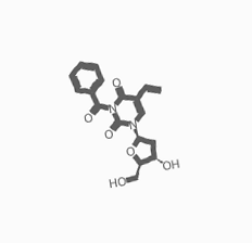 C=Cc1cn([C@H]2C[C@H](O)[C@@H](CO)O2)c(=O)n(C(=O)c2ccccc2)c1=O